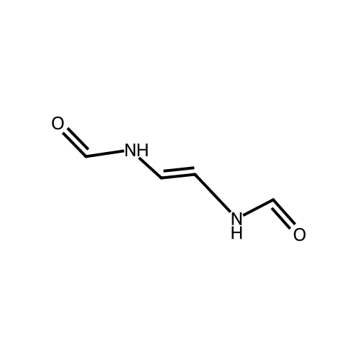 O=CNC=CNC=O